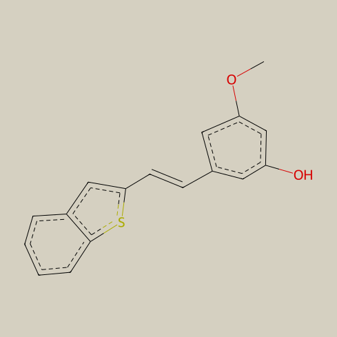 COc1cc(O)cc(/C=C/c2cc3ccccc3s2)c1